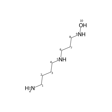 NCCCCNCCCNO